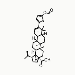 C=C(C)[C@@H]1CC[C@]2(C(=O)O)CC[C@]3(C)[C@H](CC[C@@H]4[C@@]5(C)CC=C(c6ccc(OC=O)s6)C(C)(C)[C@@H]5CC[C@]43C)[C@@H]12